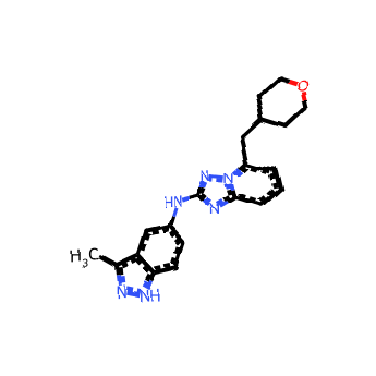 Cc1n[nH]c2ccc(Nc3nc4cccc(CC5CCOCC5)n4n3)cc12